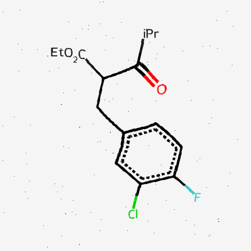 CCOC(=O)C(Cc1ccc(F)c(Cl)c1)C(=O)C(C)C